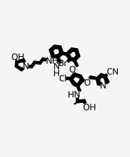 C[C@H](CO)NCc1cc(Cl)c(OCc2cccc(-c3cccc(NCCCCN4CC[C@@H](O)C4)c3C=N)c2Br)cc1OCc1cncc(C#N)c1